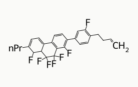 C=CCCc1ccc(-c2ccc3c(c2F)C(F)(F)C(F)(F)C2C3=CC=C(CCC)C2F)cc1F